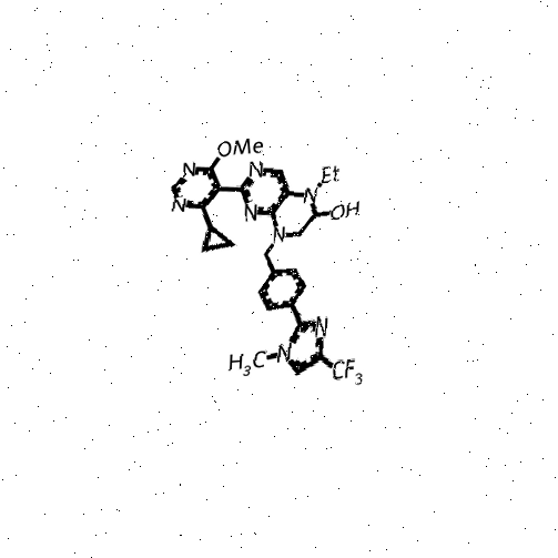 CCN1c2cnc(-c3c(OC)ncnc3C3CC3)nc2N(Cc2ccc(-c3nc(C(F)(F)F)cn3C)cc2)CC1O